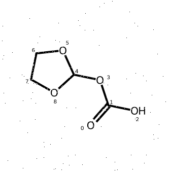 O=C(O)OC1OCCO1